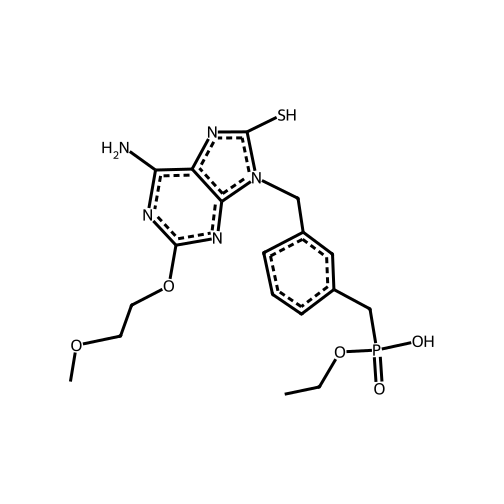 CCOP(=O)(O)Cc1cccc(Cn2c(S)nc3c(N)nc(OCCOC)nc32)c1